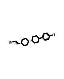 Clc1ccc(C2CCC([C@H]3CC[C@H](/C=C/Br)CC3)CC2)cc1